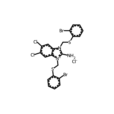 Nc1n(CSc2ccccc2Br)c2cc(Cl)c(Cl)cc2[n+]1CSc1ccccc1Br.[Cl-]